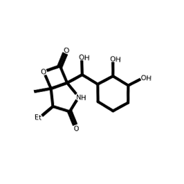 CCC1C(=O)NC2(C(O)C3CCCC(O)C3O)C(=O)OC12C